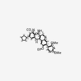 CCOc1cc2c(Nc3cc(C(=O)O)cc(C4CCCC4)c3)c(C(N)=O)cnc2cc1-c1cnc(OC)nc1OC